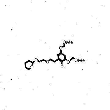 CCc1c(CCOCCOC2CCCCO2)cc(OCOC)cc1OCOC